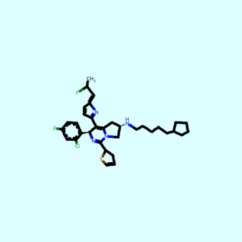 CC(F)/C=C1\C=CC(C2=C3C[C@H](NCCCCCC4CCCC4)CN3C(C3CC=CS3)=N[C@H]2c2ccc(F)cc2Cl)=N1